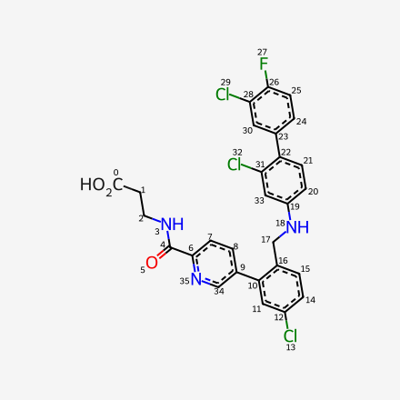 O=C(O)CCNC(=O)c1ccc(-c2cc(Cl)ccc2CNc2ccc(-c3ccc(F)c(Cl)c3)c(Cl)c2)cn1